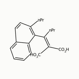 CCCC(=C(C(=O)O)C(=O)O)c1c(CCC)ccc2ccccc12